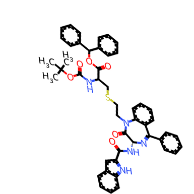 CC(C)(C)OC(=O)NC(CSCCN1C(=O)[C@@H](NC(=O)c2cc3ccccc3[nH]2)N=C(c2ccccc2)c2ccccc21)C(=O)OC(c1ccccc1)c1ccccc1